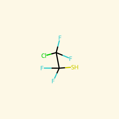 FC(F)(S)C(F)(F)Cl